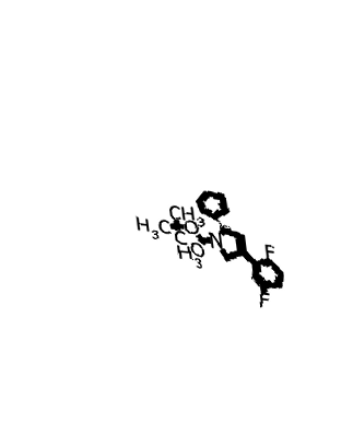 CC(C)(C)OC(=O)N1CC(c2cc(F)ccc2F)=C[C@H]1c1ccccc1